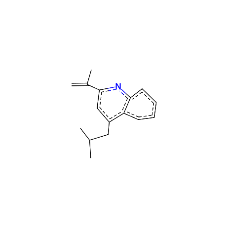 C=C(C)c1cc(CC(C)C)c2ccccc2n1